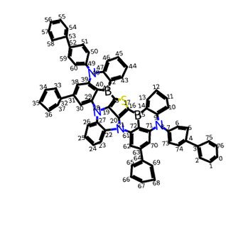 c1ccc(-c2ccc(N3c4ccccc4B4c5sc6c7c5N(c5ccccc5N7c5cc(-c7ccccc7)cc7c5B6c5ccccc5N7c5ccc(-c6ccccc6)cc5)c5cc(-c6ccccc6)cc3c54)cc2)cc1